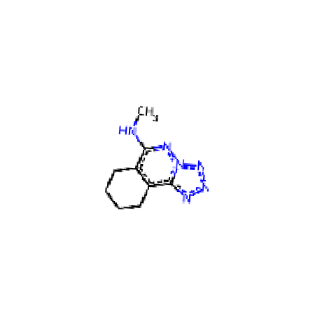 CNc1nn2nnnc2c2c1CCCC2